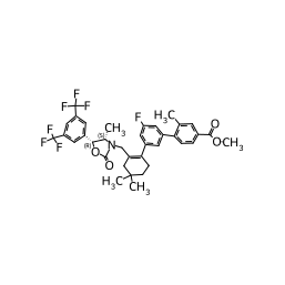 COC(=O)c1ccc(-c2cc(F)cc(C3=C(CN4C(=O)O[C@H](c5cc(C(F)(F)F)cc(C(F)(F)F)c5)[C@@H]4C)CC(C)(C)CC3)c2)c(C)c1